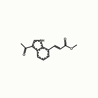 COC(=O)C=Cc1cccc2c(C(C)=O)c[nH]c12